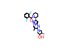 Cc1cn2nc([C@@H]3CCCCN3C(=O)c3c(F)cccc3F)cc2nc1N1C[C@@H](C)[C@@H](O)C1